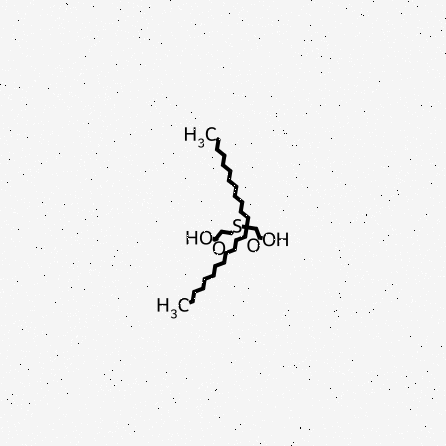 CCCCCCCCCCCCC(CCCCCCCCCCCC)(CC(=O)O)SCCC(=O)O